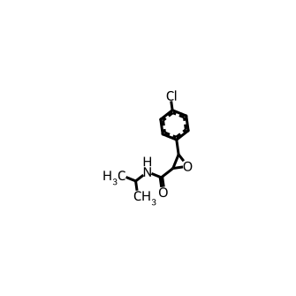 CC(C)NC(=O)C1OC1c1ccc(Cl)cc1